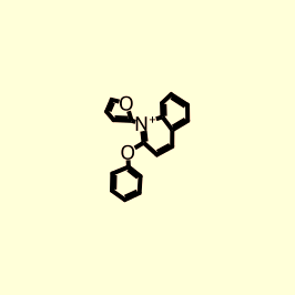 c1ccc(Oc2ccc3ccccc3[n+]2-c2ccco2)cc1